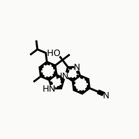 Cc1cc(CC(C)C)c(C(C)(O)c2nc3cc(C#N)ccc3[nH]2)c2cc[nH]c12